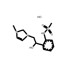 CN1C=CN(CC(O)c2ccccc2NS(C)(=O)=O)C1.Cl